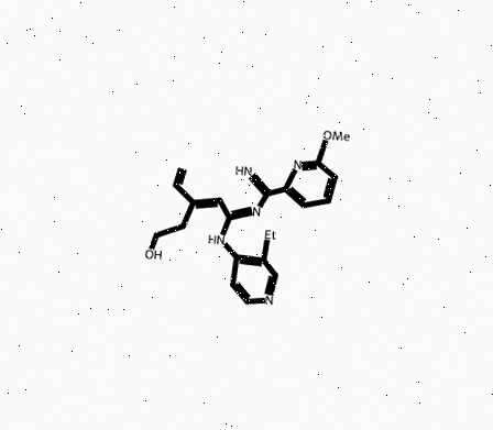 C=C/C(=C/C(=N\C(=N)c1cccc(OC)n1)Nc1ccncc1CC)CCO